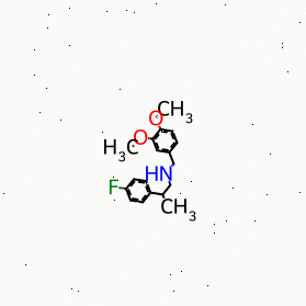 COc1ccc(CNCC(C)c2ccc(F)cc2)cc1OC